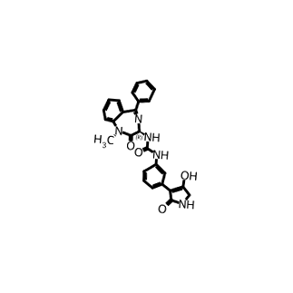 CN1C(=O)[C@H](NC(=O)Nc2cccc(C3=C(O)CNC3=O)c2)N=C(c2ccccc2)c2ccccc21